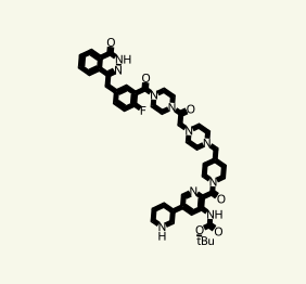 CC(C)(C)OC(=O)Nc1cc(C2CCCNC2)cnc1C(=O)N1CCC(CN2CCN(CC(=O)N3CCN(C(=O)c4cc(Cc5n[nH]c(=O)c6ccccc56)ccc4F)CC3)CC2)CC1